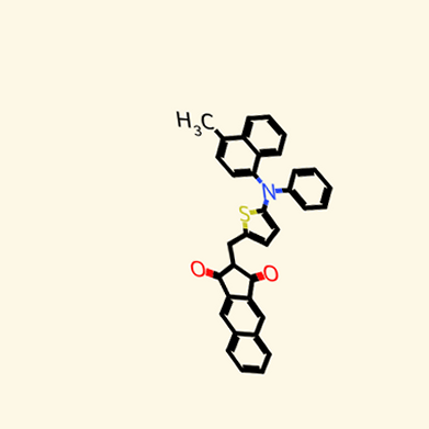 Cc1ccc(N(c2ccccc2)c2ccc(CC3C(=O)c4cc5ccccc5cc4C3=O)s2)c2ccccc12